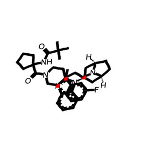 Cc1nc2ccccc2n1[C@H]1C[C@H]2CC[C@@H](C1)N2CCC1(c2cccc(F)c2)CCN(C(=O)C2(NC(=O)C(C)(C)C)CCCC2)CC1